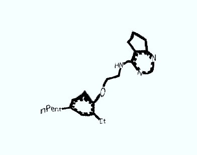 CCCCCc1ccc(OCCNc2ncnc3c2CCC3)c(CC)c1